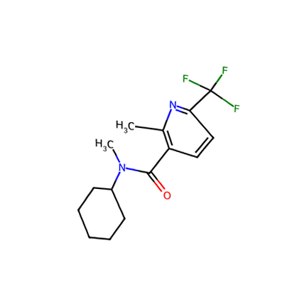 Cc1nc(C(F)(F)F)ccc1C(=O)N(C)C1CCCCC1